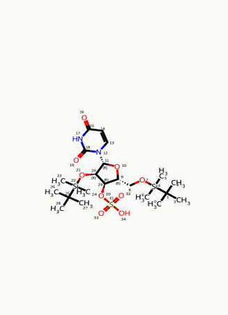 CC(C)(C)[Si](C)(C)OC[C@H]1O[C@@H](n2ccc(=O)[nH]c2=O)[C@H](O[Si](C)(C)C(C)(C)C)[C@@H]1OS(=O)(=O)O